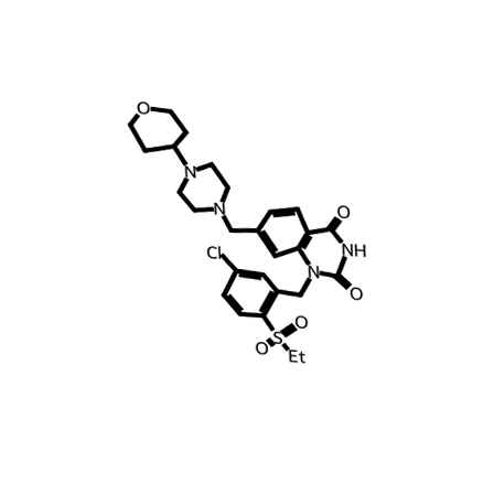 CCS(=O)(=O)c1ccc(Cl)cc1Cn1c(=O)[nH]c(=O)c2ccc(CN3CCN(C4CCOCC4)CC3)cc21